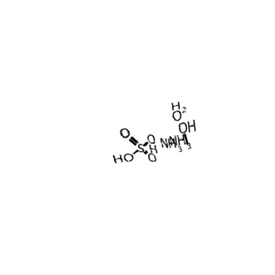 CO.N.N.O.O=S(=O)(O)O